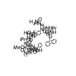 CC[C@H](C)[C@@H]([C@@H](CC(=O)N1CCC[C@H]1[C@H](OC)[C@@H](C)C(=O)N[C@H](C)[C@@H](O)c1ccccc1)OC)N(C)C(=O)[C@@H](NC(=O)[C@H](C(C)C)[N+](C)(C)Cc1ccc(NC(=O)[C@H](CCCNC(N)=O)NC(=O)[C@@H](NC(=O)OCC2c3ccccc3-c3ccccc32)C(C)C)cc1S(=O)(=O)O)C(C)C